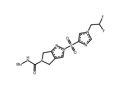 CC(C)(C)NC(=O)N1Cc2cn(S(=O)(=O)c3cn(CC(F)F)cn3)nc2C1